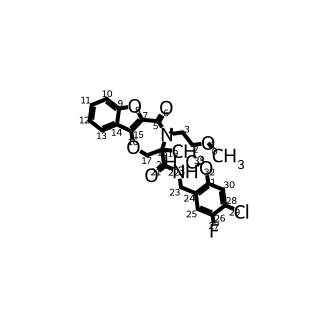 COCCN1C(=O)c2oc3ccccc3c2OCC1(C)C(=O)NCc1cc(F)c(Cl)cc1OC